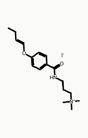 CCC=COc1ccc(C(=O)NCCC[N+](C)(C)C)cc1.[I-]